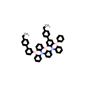 C=Cc1ccc(-c2cccc(B3c4ccccc4N4c5cccc6c5B(c5cccc3c54)c3cc(-c4ccc(C=C)cc4)cc4c3N6c3ccccc3B4c3ccccc3)c2)cc1